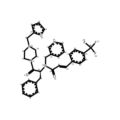 O=C([C@H](Cc1ccccc1)N(Cc1cccnc1)C(=O)C=Cc1ccc(C(F)(F)F)cc1)N1CCN(Cc2ccco2)CC1